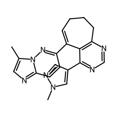 Cc1cnc2ccc(C3=CCCCc4ncnc(-c5cnn(C)c5)c43)nn12